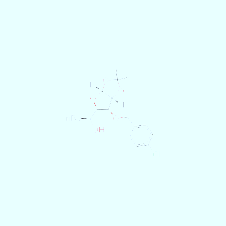 CCCC[C@H](O)[C@H]1O[C@@H]2OC(C)(C)O[C@@H]2[C@H]1OCc1ccc(Cl)cc1